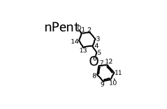 CCCCCC1CCC(COc2cc[c]cc2)CC1